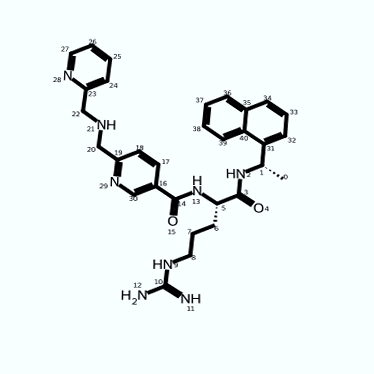 C[C@H](NC(=O)[C@H](CCCNC(=N)N)NC(=O)c1ccc(CNCc2ccccn2)nc1)c1cccc2ccccc12